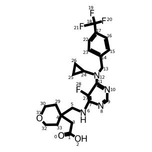 O=C(O)CC1(CNc2ncnc(N(Cc3ccc(C(F)(F)F)cc3)C3CC3)c2F)CCOCC1